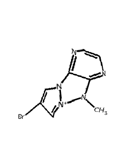 Cn1c2nccnc2n2cc(Br)c[n+]12